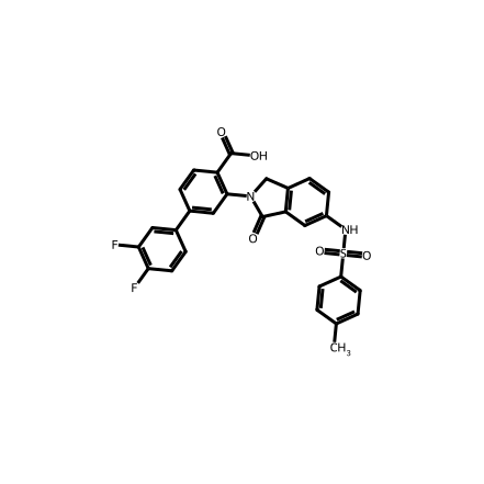 Cc1ccc(S(=O)(=O)Nc2ccc3c(c2)C(=O)N(c2cc(-c4ccc(F)c(F)c4)ccc2C(=O)O)C3)cc1